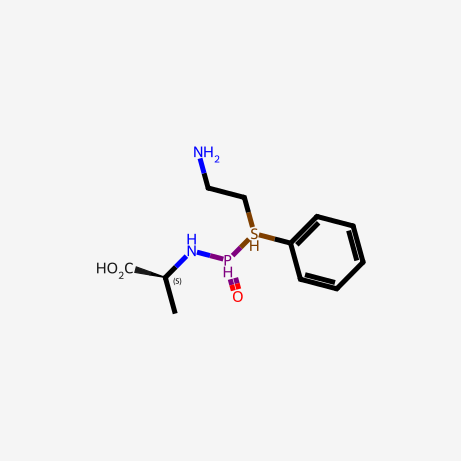 C[C@H](N[PH](=O)[SH](CCN)c1ccccc1)C(=O)O